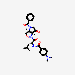 CC(C)C[C@H](NC(=O)c1ccc(N(C)C)cc1)C(=O)N1OC[C@@H]2[C@H]1C(=O)CN2C(=O)c1ccccc1